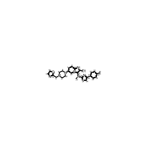 CCc1nc2ccc(N3CCN(Cc4ncco4)CC3)cn2c1N(C)c1nc(-c2ccc(F)cc2)cs1